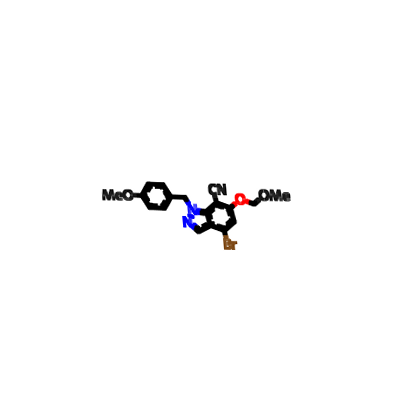 COCOc1cc(Br)c2cnn(Cc3ccc(OC)cc3)c2c1C#N